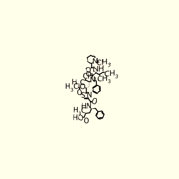 CC[C@@H](C)[C@H](NC(=O)C1CCCCN1C)C(=O)N(Cc1ccccc1)[C@H](C[C@@H](OC(C)=O)c1nc(C(=O)N[C@@H](Cc2ccccc2)C[C@H](C)C(=O)O)cs1)C(C)C